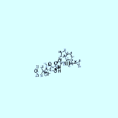 C[C@H](c1ccc2c(c1NC(=O)NS(=O)(=O)c1cc(C3(O)CCOCC3)co1)CCC2)C1CC1